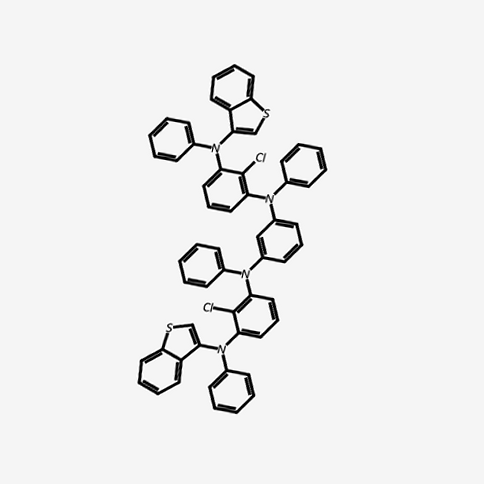 Clc1c(N(c2ccccc2)c2cccc(N(c3ccccc3)c3cccc(N(c4ccccc4)c4csc5ccccc45)c3Cl)c2)cccc1N(c1ccccc1)c1csc2ccccc12